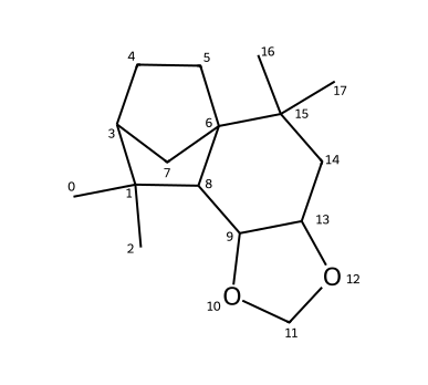 CC1(C)C2CCC3(C2)C1C1OCOC1CC3(C)C